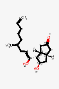 C=CCCCC(C)CC=C(O)[C@@H]1[C@@H]2CC(=O)C[C@@H]2C[C@H]1O